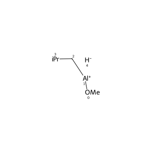 C[O][Al+][CH2]C(C)C.[H-]